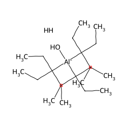 CC[C](CC)(CC)[Al-]([OH])([C](CC)(CC)CC)[C](CC)(CC)CC.[HH]